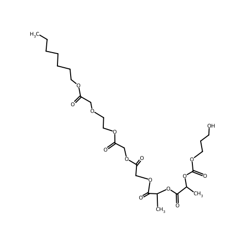 CCCCCCCOC(=O)COCCOC(=O)COC(=O)COC(=O)C(C)OC(=O)C(C)OC(=O)OCCCO